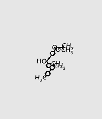 Cc1ccc(C2=CCC(C)(C)c3cc(C(O)C#Cc4ccc(C(=O)OCC(C)C)cc4)ccc32)cc1